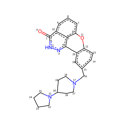 O=c1[nH]nc2c3c(cccc13)Oc1ccc(CN3CCC(N4CCCC4)CC3)cc1-2